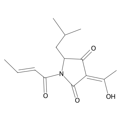 C/C=C/C(=O)N1C(=O)/C(=C(/C)O)C(=O)C1CC(C)C